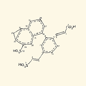 C=CC(=O)O.O=S(=O)(O)C=Cc1ccccc1.O=S(=O)(O)c1cc2ccccc2c2c1C2